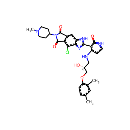 Cc1ccc(OC[C@H](O)CNc2cc[nH]c(=O)c2-c2nc3c(Cl)c4c(cc3[nH]2)C(=O)N(C2CCN(C)CC2)C4=O)c(C)c1